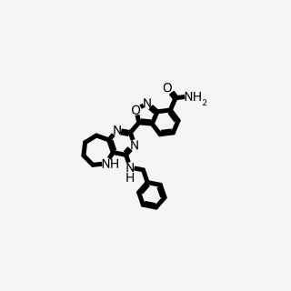 NC(=O)c1cccc2c(-c3nc4c(c(NCc5ccccc5)n3)NCCCC4)onc12